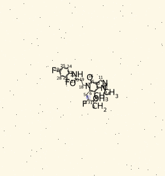 C=C(O)/C(F)=C\c1c(C)c2c(cnn2C)c(=O)n1CCC(=O)Nc1ccc(F)cc1F